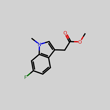 COC(=O)Cc1cn(C)c2cc(F)ccc12